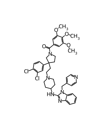 COc1cc(C(=O)N2CCC(CCN3CCC(Nc4nc5ccccc5n4Cc4ccncc4)CC3)(c3ccc(Cl)c(Cl)c3)C2)cc(OC)c1OC